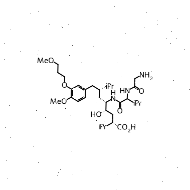 COCCCOc1cc(C[C@@H](C[C@H](NC(=O)C(NC(=O)CN)C(C)C)[C@@H](O)C[C@H](C(=O)O)C(C)C)C(C)C)ccc1OC